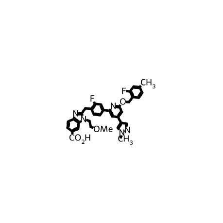 COCCn1c(Cc2ccc(-c3cc(-c4cnn(C)c4)cc(OCc4ccc(C)cc4F)n3)cc2F)nc2ccc(C(=O)O)cc21